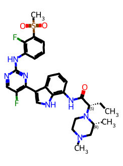 CC[C@@H](C(=O)Nc1cccc2c(-c3nc(Nc4cccc(S(C)(=O)=O)c4F)ncc3F)c[nH]c12)N1CCN(C)C[C@H]1C